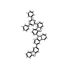 C1=CC2c3cc(-c4ccc5oc6ccccc6c5c4)ccc3N(c3cccc4c3oc3cccc(-c5nc(-c6ccccc6)nc(-c6ccccc6)n5)c34)C2C=C1